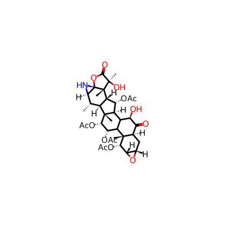 CC(=O)O[C@H]1[C@@H]2[C@H]([C@H](C)[C@H]3N[C@]34OC(=O)[C@@](C)(O)[C@]24C)[C@]2(C)[C@@H]1C1C([C@H](OC(C)=O)[C@@H]2OC(C)=O)[C@]2(C)[C@H](C[C@@H]3O[C@@H]3[C@@H]2OC(C)=O)C(=O)[C@@H]1O